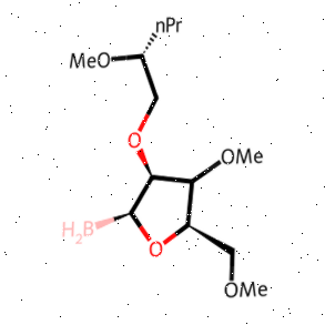 B[C@@H]1O[C@H](COC)C(OC)[C@@H]1OC[C@@H](CCC)OC